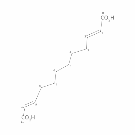 O=C(O)C=CCCCCCCC=CC(=O)O